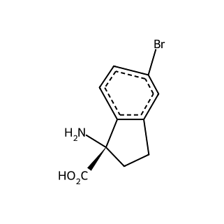 N[C@@]1(C(=O)O)CCc2cc(Br)ccc21